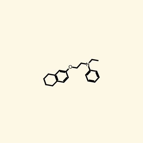 CCN(CCOc1ccc2c(c1)CCCC2)c1ccccc1